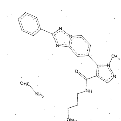 COCCCNC(=O)c1cnn(C)c1-c1ccn2nc(-c3ccccc3)nc2c1.NC=O